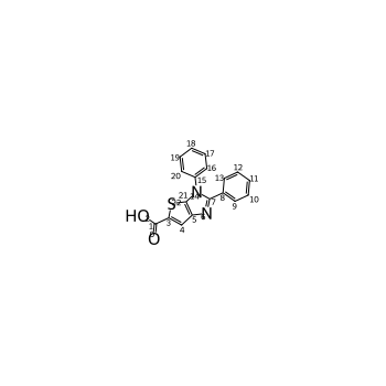 O=C(O)c1cc2nc(-c3ccccc3)n(-c3ccccc3)c2s1